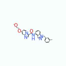 COCCOc1ccn2c(C(=O)Nc3cccc4c3cnn4Cc3cccc(C)c3)cnc2c1